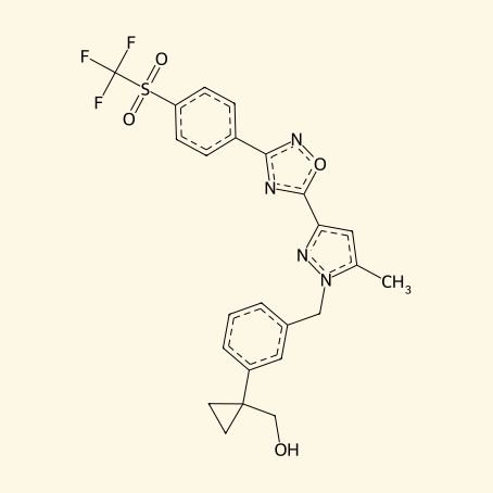 Cc1cc(-c2nc(-c3ccc(S(=O)(=O)C(F)(F)F)cc3)no2)nn1Cc1cccc(C2(CO)CC2)c1